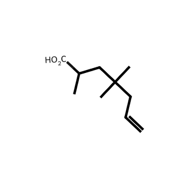 C=CCC(C)(C)CC(C)C(=O)O